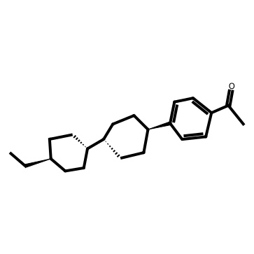 CC[C@H]1CC[C@H]([C@H]2CC[C@H](c3ccc(C(C)=O)cc3)CC2)CC1